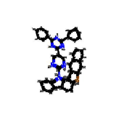 c1ccc(-c2nc(-c3ccccc3)nc(-c3cnc(-n4c5ccccc5c5ccc6sc7cc8ccccc8cc7c6c54)nc3)n2)cc1